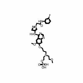 COCCN(CCCOc1cc2ncnc([AsH]c3cnn(CC(=O)Nc4cccc(F)c4)c3)c2cc1OC)CCOP(=O)(O)O